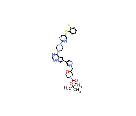 CC(C)(C)OC(=O)N1CCOC(Cn2cc(-c3cc4c(N5CCN(c6ncc(Sc7ccccc7F)cn6)CC5)ncnn4c3)cn2)C1